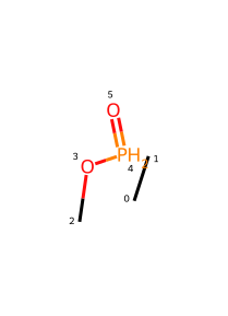 CC.CO[PH2]=O